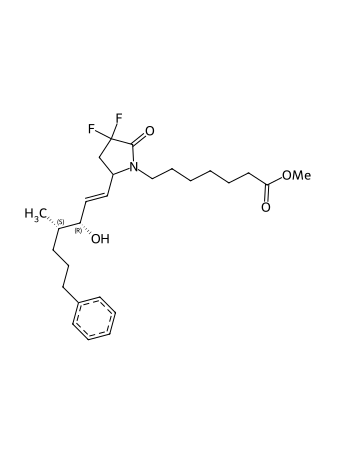 COC(=O)CCCCCCN1C(=O)C(F)(F)CC1C=C[C@H](O)[C@@H](C)CCCc1ccccc1